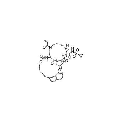 C=CC(=O)N1CC/C=C\[C@@H]2C[C@@]2(C(=O)NS(=O)(=O)C2CC2)NC(=O)[C@@H]2C[C@@H]3CN2C(=O)[C@H](CC1)NC(=O)OCCC/C=C/c1ccc2ccnc(c2c1)O3